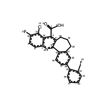 O=C(O)c1c2c(nc3ccc(F)c(Cl)c13)-c1ccc(-c3ccccc3F)cc1CCC2